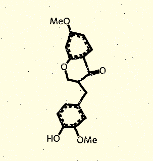 COc1ccc2c(c1)OCC(Cc1ccc(O)c(OC)c1)C2=O